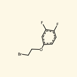 Fc1ccc(OCCBr)cc1F